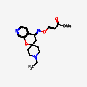 COC(=O)/C=C/O/N=C1\CC2(CCN(CC(F)(F)F)CC2)Oc2cnccc21